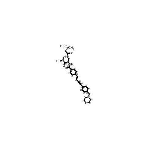 CN(C)CC(=O)NCC(NC(=O)c1ccc(C=CC#Cc2ccc(CN3CCOCC3)cc2)cc1)C(=O)NO